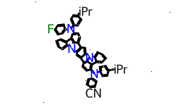 CC(C)c1ccc(N(c2ccc(F)cc2)c2ccc3c4cc5c(cc4n4c6ccccc6c2c34)c2ccc(N(c3ccc(C#N)cc3)c3ccc(C(C)C)cc3)c3c4ccccc4n5c23)cc1